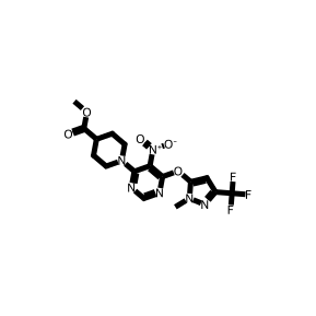 COC(=O)C1CCN(c2ncnc(Oc3cc(C(F)(F)F)nn3C)c2[N+](=O)[O-])CC1